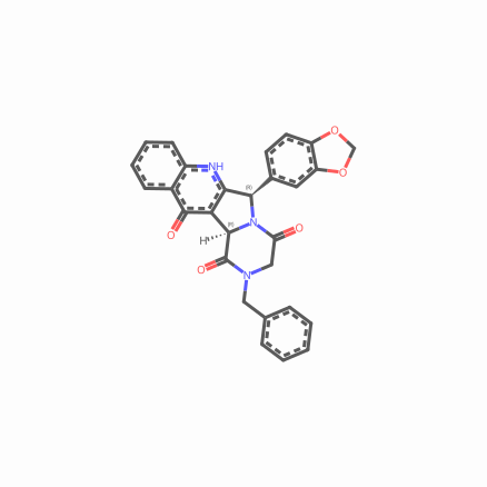 O=C1[C@H]2c3c([nH]c4ccccc4c3=O)[C@@H](c3ccc4c(c3)OCO4)N2C(=O)CN1Cc1ccccc1